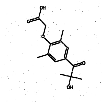 Cc1cc(C(=O)C(C)(C)O)cc(C)c1OCC(=O)O